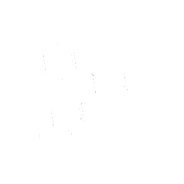 CN(C)/C=C(\C(=O)c1cccc(F)c1)c1ccc(Cl)nc1